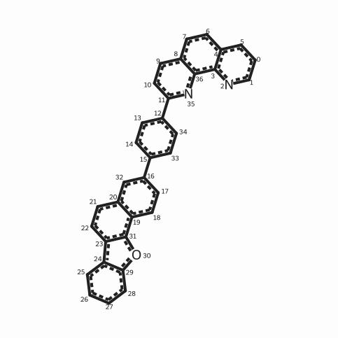 c1cnc2c(c1)ccc1ccc(-c3ccc(-c4ccc5c(ccc6c7ccccc7oc56)c4)cc3)nc12